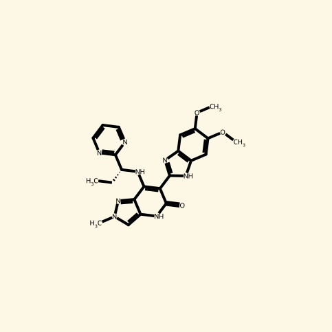 CC[C@@H](Nc1c(-c2nc3cc(OC)c(OC)cc3[nH]2)c(=O)[nH]c2cn(C)nc12)c1ncccn1